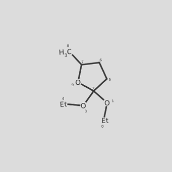 CCOC1(OCC)CCC(C)O1